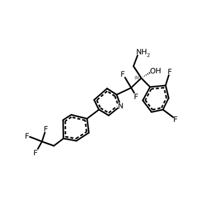 NC[C@@](O)(c1ccc(F)cc1F)C(F)(F)c1ccc(-c2ccc(CC(F)(F)F)cc2)cn1